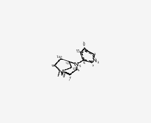 c1cncc(N2CCN3CCC2C3)c1